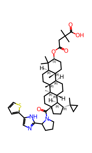 CC(C)(CC(=O)O[C@H]1CC[C@]2(C)[C@H]3CC[C@@H]4[C@H]5[C@H](C6(C)CC6)CC[C@]5(C(=O)N5CCCC5c5ncc(-c6cccs6)[nH]5)CC[C@@]4(C)[C@]3(C)CC[C@H]2C1(C)C)C(=O)O